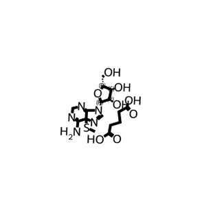 CSC12N=CN([C@@H]3O[C@H](CO)[C@@H](O)[C@H]3O)C1=NCN=C2N.O=C(O)CCCC(=O)O